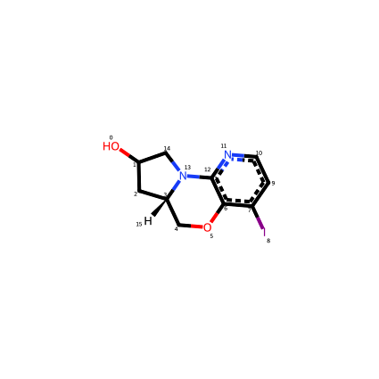 OC1C[C@H]2COc3c(I)ccnc3N2C1